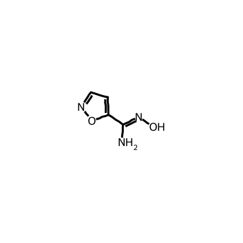 NC(=NO)c1ccno1